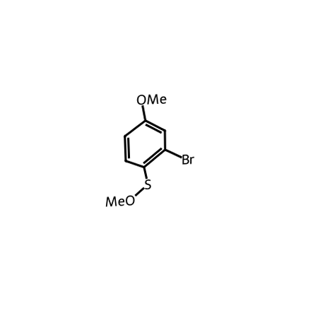 COSc1ccc(OC)cc1Br